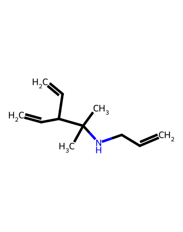 C=CCNC(C)(C)C(C=C)C=C